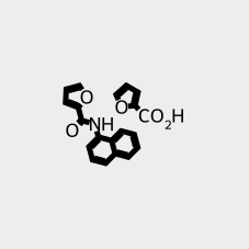 O=C(Nc1cccc2ccccc12)c1ccco1.O=C(O)c1ccco1